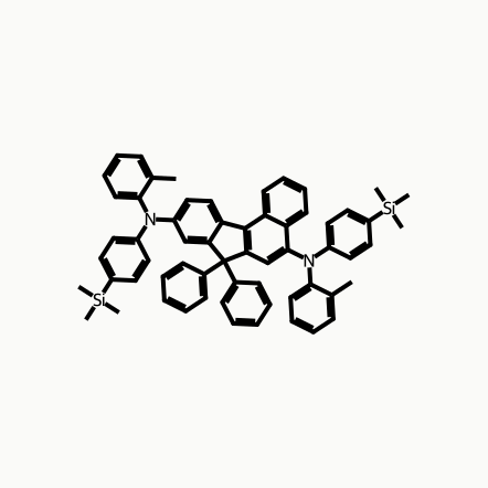 Cc1ccccc1N(c1ccc([Si](C)(C)C)cc1)c1ccc2c(c1)C(c1ccccc1)(c1ccccc1)c1cc(N(c3ccc([Si](C)(C)C)cc3)c3ccccc3C)c3ccccc3c1-2